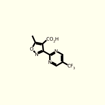 Cc1onc(-c2ncc(C(F)(F)F)cn2)c1C(=O)O